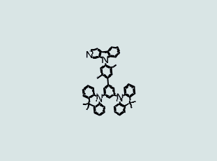 Cc1cc(-n2c3ccccc3c3ccncc32)c(C)cc1-c1cc(N2c3ccccc3C(C)(C)c3ccccc32)cc(N2c3ccccc3C(C)(C)c3ccccc32)c1